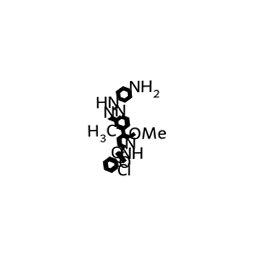 COc1nc(NS(=O)(=O)c2ccccc2Cl)ccc1-c1ccc2nc(NC3CCC(N)CC3)ncc2c1C